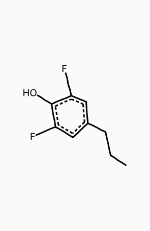 CCCc1cc(F)c(O)c(F)c1